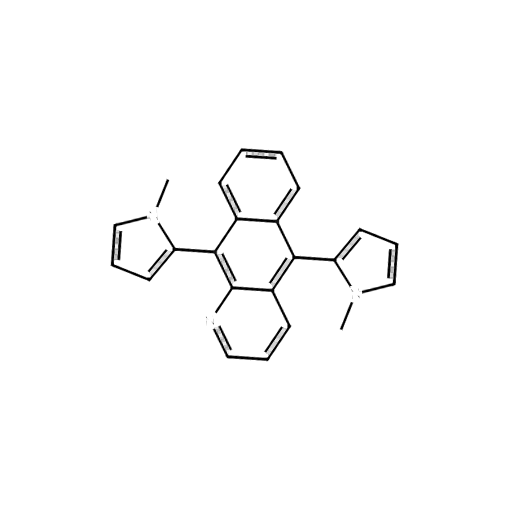 Cn1cccc1-c1c2ccccc2c(-c2cccn2C)c2ncccc12